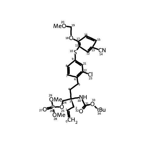 C=CC[C@](CCc1ccc(Sc2cc(C#N)ccc2OCOC)cc1Cl)(COP(=O)(OC)OC)NC(=O)OC(C)(C)C